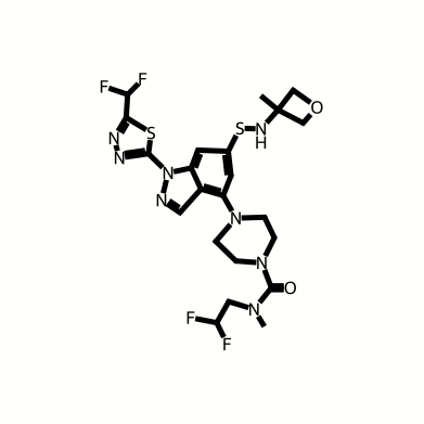 CN(CC(F)F)C(=O)N1CCN(c2cc(SNC3(C)COC3)cc3c2cnn3-c2nnc(C(F)F)s2)CC1